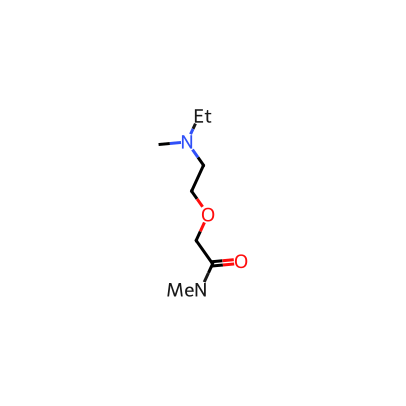 CCN(C)CCOCC(=O)NC